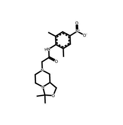 Cc1cc([N+](=O)[O-])cc(C)c1NC(=O)CN1CCN2C(COC2(C)C)C1